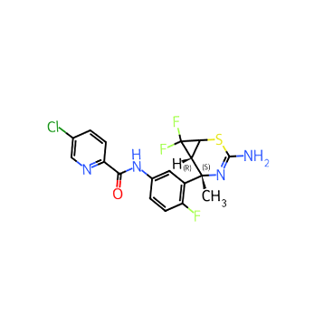 C[C@]1(c2cc(NC(=O)c3ccc(Cl)cn3)ccc2F)N=C(N)SC2[C@H]1C2(F)F